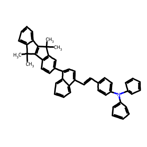 CC1(C)C2=C(c3ccccc31)C(C)(C)c1cc(-c3ccc(/C=C/c4ccc(N(c5ccccc5)c5ccccc5)cc4)c4ccccc34)ccc12